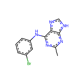 Cc1nc(Nc2cccc(Br)c2)c2nc[nH]c2n1